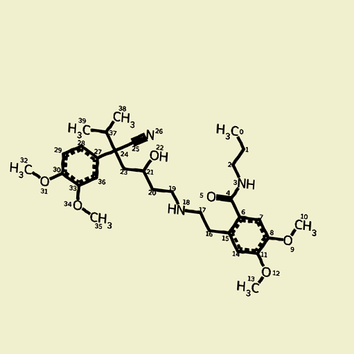 CCCNC(=O)c1cc(OC)c(OC)cc1CCNCCC(O)CC(C#N)(c1ccc(OC)c(OC)c1)C(C)C